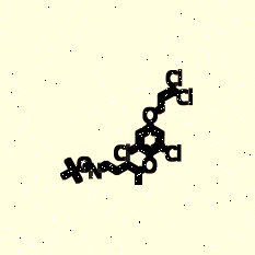 CC(CCC=NOC(C)(C)C)Oc1c(Cl)cc(OCC=C(Cl)Cl)cc1Cl